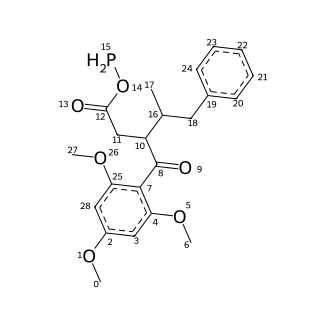 COc1cc(OC)c(C(=O)C(CC(=O)OP)C(C)Cc2ccccc2)c(OC)c1